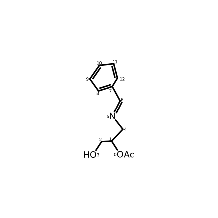 CC(=O)OC(CO)C/N=C/c1ccccc1